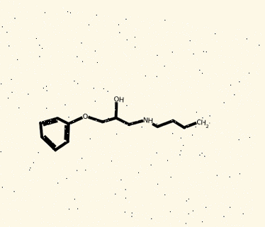 [CH2]CCCNCC(O)COc1ccccc1